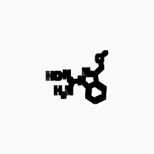 COCc1nn(/C(N)=N/O)c2ccccc12